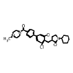 CN1CCN(C(=O)c2ccc(-c3cc(Cl)c(CC4CCN(C5CCCCC5)C4=O)c(Cl)c3)cc2)CC1